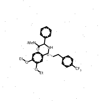 CCOc1ccc([C@@H](CCc2ccc(C(F)(F)F)cc2)NC(C(=O)NC)c2ccccc2)cc1OCC